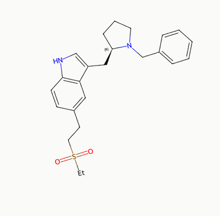 CCS(=O)(=O)CCc1ccc2[nH]cc(C[C@H]3CCCN3Cc3ccccc3)c2c1